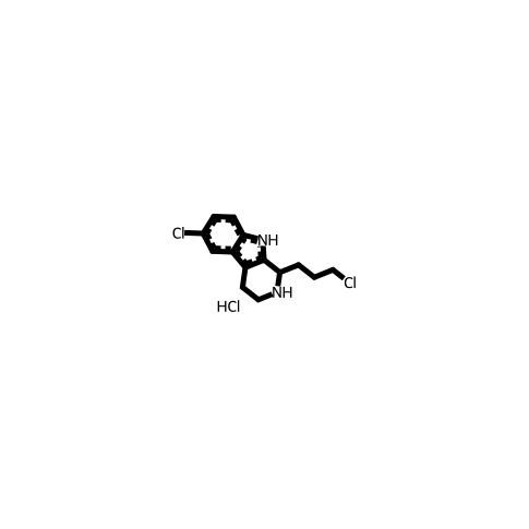 Cl.ClCCCC1NCCc2c1[nH]c1ccc(Cl)cc21